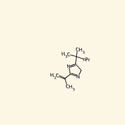 C=C(C)C1=NCC(C(C)(C)CCC)=N1